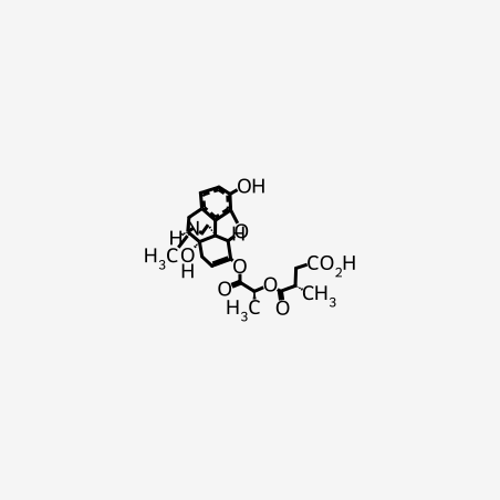 C[C@H](OC(=O)[C@@H](C)CC(=O)O)C(=O)OC1=CC[C@@]2(O)[C@H]3Cc4ccc(O)c5c4[C@@]2(CCN3C)[C@H]1O5